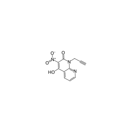 C#CCn1c(=O)c([N+](=O)[O-])c(O)c2cccnc21